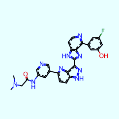 CN(C)CC(=O)Nc1cncc(-c2ccc3[nH]nc(-c4nc5c(-c6cc(O)cc(F)c6)nccc5[nH]4)c3n2)c1